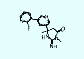 CN1C(=N)N[C@](C)(c2cncc(-c3cccnc3F)c2)CC1=O